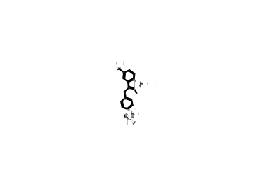 COC(=O)c1ccc2c(c1)c(Cc1ccc(S(=O)(=O)N(C)C)cc1)c(C)n2O